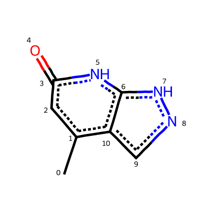 Cc1cc(=O)[nH]c2[nH]ncc12